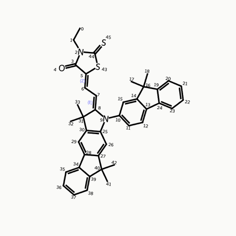 CCN1C(=O)/C(=C/C=C2/N(c3ccc4c(c3)C(C)(C)c3ccccc3-4)c3cc4c(cc3C2(C)C)-c2ccccc2C4(C)C)SC1=S